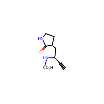 C#C[C@H](C[C@@H]1CCNC1=O)NC(=O)O